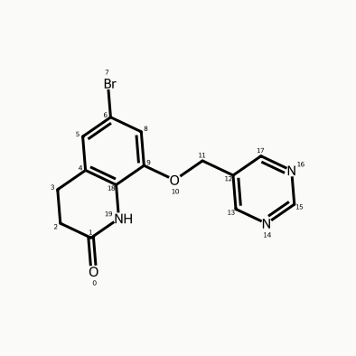 O=C1CCc2cc(Br)cc(OCc3cncnc3)c2N1